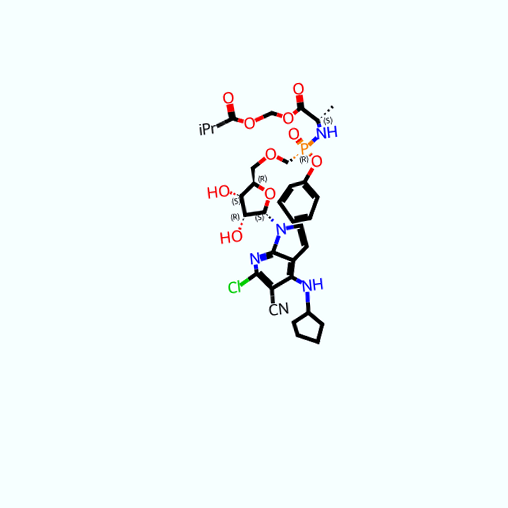 CC(C)C(=O)OCOC(=O)[C@H](C)N[P@@](=O)(COC[C@H]1O[C@H](n2ccc3c(NC4CCCC4)c(C#N)c(Cl)nc32)[C@H](O)[C@@H]1O)Oc1ccccc1